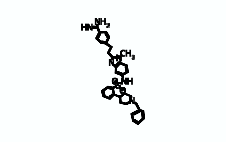 Cn1c(CCc2ccc(C(=N)N)cc2)nc2cc(NS(=O)(=O)c3ccccc3C3CCN(Cc4ccccc4)CC3)ccc21